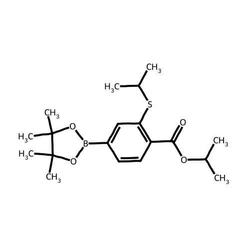 CC(C)OC(=O)c1ccc(B2OC(C)(C)C(C)(C)O2)cc1SC(C)C